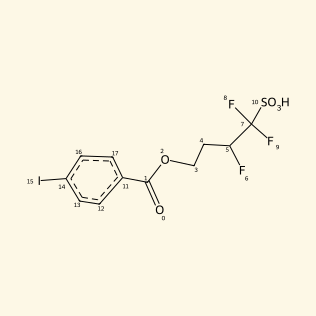 O=C(OCCC(F)C(F)(F)S(=O)(=O)O)c1ccc(I)cc1